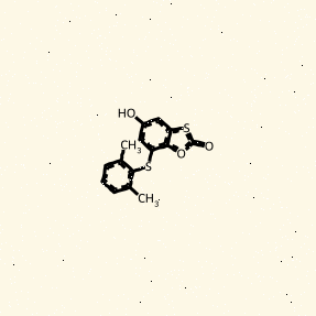 Cc1cccc(C)c1Sc1cc(O)cc2sc(=O)oc12